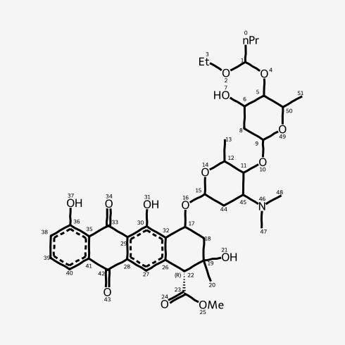 CCCC(OCC)OC1C(O)CC(OC2C(C)OC(OC3CC(C)(O)[C@H](C(=O)OC)c4cc5c(c(O)c43)C(=O)c3c(O)cccc3C5=O)CC2N(C)C)OC1C